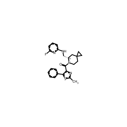 Cc1nc(C(=O)N2CCC3(CC3)C[C@H]2CNc2cccc(F)n2)c(-c2ccccc2)s1